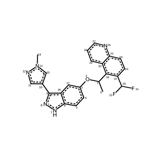 CC(Oc1ccc2[nH]nc(-c3cnn(C)c3)c2c1)c1c(C(F)F)ccc2ncccc12